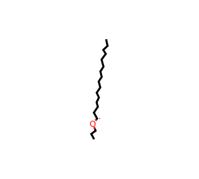 CCCCCCCCCCCCCCC[CH]OCCC